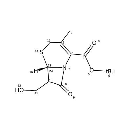 CC1=C(C(=O)OC(C)(C)C)N2C(=O)C(CO)[C@@H]2SC1